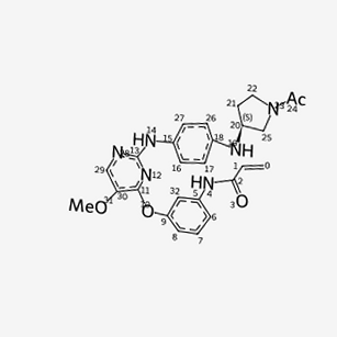 C=CC(=O)Nc1cccc(Oc2nc(Nc3ccc(N[C@H]4CCN(C(C)=O)C4)cc3)ncc2OC)c1